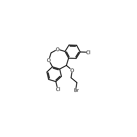 Clc1ccc2c(c1)C(OCCBr)c1cc(Cl)ccc1OCO2